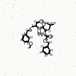 COc1cccc(CSCC(C=O)NC(=O)[C@@H](CC(C)C)NC(=O)OCc2ccccc2)c1